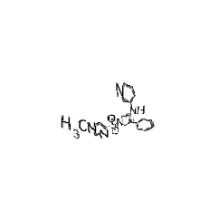 Cn1cnc(S(=O)(=O)N2C[C@H](Nc3cccnc3)[C@@H](c3ccccc3)C2)c1